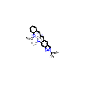 CCCC(CCC)n1cc2cc(/C=C/C=C3/C=CC=C/C3=N\OC)c(N(C)C)cc2n1